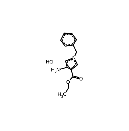 CCOC(=O)c1cn(Cc2ccccc2)cc1N.Cl